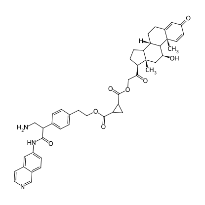 C[C@]12C=CC(=O)C=C1CC[C@@H]1C2[C@@H](O)C[C@@]2(C)C1CC[C@@H]2C(=O)COC(=O)C1CC1C(=O)OCCc1ccc(C(CN)C(=O)Nc2ccc3cnccc3c2)cc1